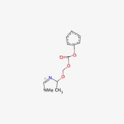 CN/C=N\C(C)OCOC(=O)Oc1ccccc1